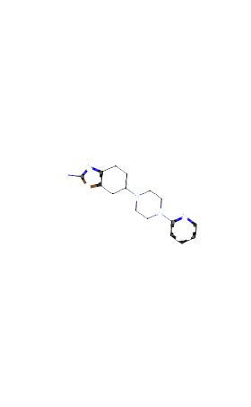 Nc1nc2c(s1)CC(N1CCN(c3ccccn3)CC1)CC2.O